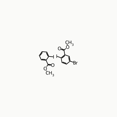 COC(=O)c1cc(Br)ccc1I.COC(=O)c1ccccc1I